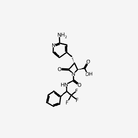 Nc1cc(C[C@H]2C(=O)N(C(=O)NC(c3ccccc3)C(F)(F)F)[C@@H]2C(=O)O)ccn1